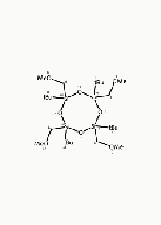 COC[Si]1(C(C)(C)C)O[Si](COC)(C(C)(C)C)O[Si](COC)(C(C)(C)C)O[Si](COC)(C(C)(C)C)O1